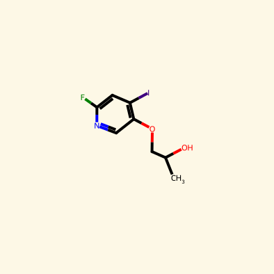 CC(O)COc1cnc(F)cc1I